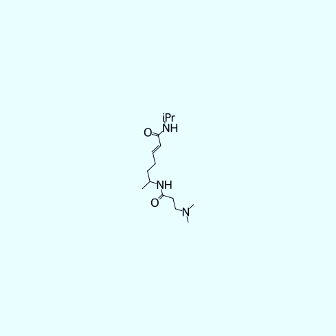 CC(C)NC(=O)/C=C/CCC(C)NC(=O)CCN(C)C